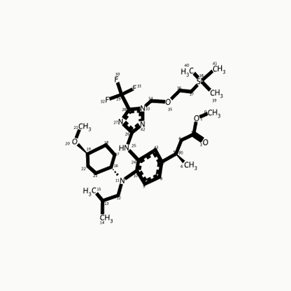 COC(=O)C[C@@H](C)c1ccc(N(CC(C)C)[C@H]2CC[C@H](OC)CC2)c(Nc2nc(C(F)(F)F)n(COCC[Si](C)(C)C)n2)c1